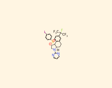 O=S(=O)(c1ccc(I)cc1)[C@@]12CCN(c3ncccn3)[C@@H]1CCc1cc(C(F)(C(F)(F)F)C(F)(F)F)ccc12